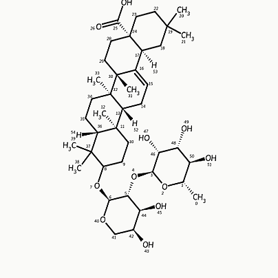 C[C@@H]1O[C@@H](O[C@H]2[C@H](OC3CC[C@]4(C)[C@H]5CC=C6[C@@H]7CC(C)(C)CC[C@]7(C(=O)O)CC[C@@]6(C)[C@]5(C)CC[C@H]4C3(C)C)OC[C@H](O)[C@@H]2O)[C@H](O)[C@H](O)[C@H]1O